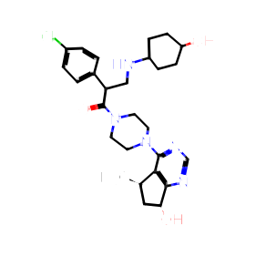 C[C@@H]1C[C@@H](O)c2ncnc(N3CCN(C(=O)C(CNC4CCC(O)CC4)c4ccc(Cl)cc4)CC3)c21